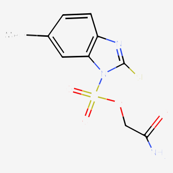 COc1ccc2nc(S)n(S(=O)(=O)OCC(N)=O)c2c1